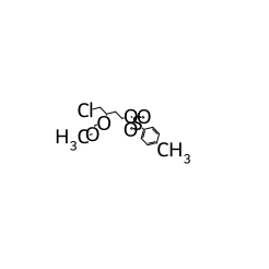 COCOC(CCl)CCOS(=O)(=O)c1ccc(C)cc1